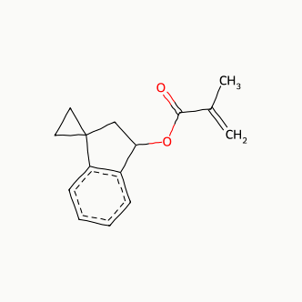 C=C(C)C(=O)OC1CC2(CC2)c2ccccc21